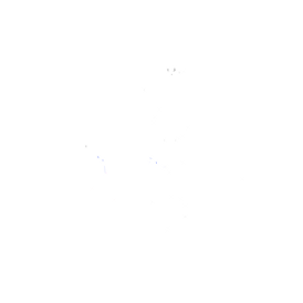 COC(=O)c1ccc2c(C3CCCCC3)c(-c3ccccc3COS(C)(=O)=O)n(CCNC(=O)OC(C)(C)C)c2c1